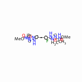 C=C(C)[C@H](NC(=O)OC)C(=O)N1CCC[C@H]1c1ncc(-c2ccc(C#Cc3ccc4nc([C@@H]5CCCN5C(=O)C(NC(=O)OC)C(C)C)[nH]c4c3)cc2F)[nH]1